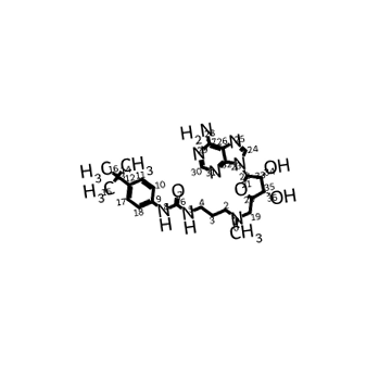 CN(CCCNC(=O)Nc1ccc(C(C)(C)C)cc1)CC1O[C@@H](n2cnc3c(N)ncnc32)[C@H](O)[C@@H]1O